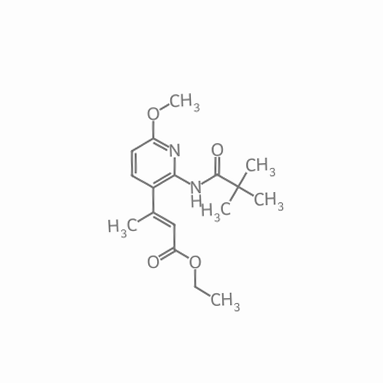 CCOC(=O)C=C(C)c1ccc(OC)nc1NC(=O)C(C)(C)C